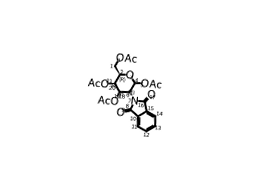 CC(=O)OC[C@H]1OC(OC(C)=O)[C@H](N2C(=O)c3ccccc3C2=O)[C@@H](OC(C)=O)[C@H]1OC(C)=O